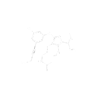 C=Nc1c(/C(N)=N\C)nc(Sc2cc(Cl)cc(C#CCO)c2)n1CCCNC(C)C